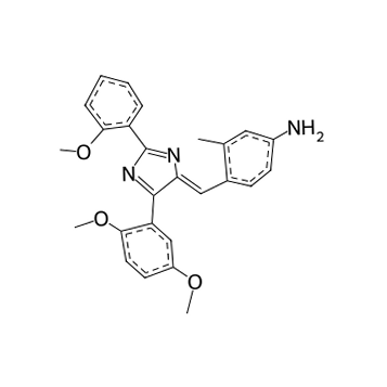 COc1ccc(OC)c(C2=NC(c3ccccc3OC)=N/C2=C\c2ccc(N)cc2C)c1